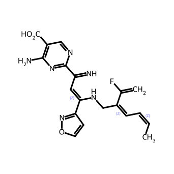 C=C(F)/C(=C\C=C/C)CN/C(=C\C(=N)c1ncc(C(=O)O)c(N)n1)c1ccon1